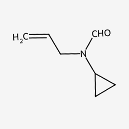 C=CCN(C=O)C1CC1